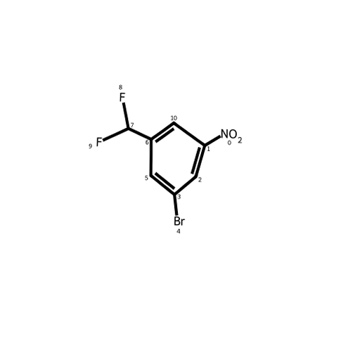 O=[N+]([O-])c1cc(Br)cc(C(F)F)c1